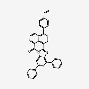 C=Cc1ccc(-c2ccc3c4c2cccc4c(=O)n2c4cc(-c5ccccc5)cc(-c5ccccc5)c4nc32)cc1